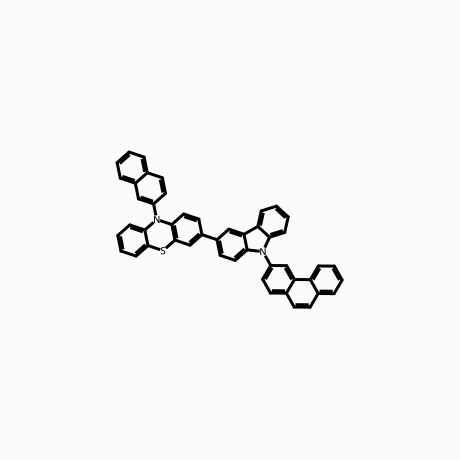 c1ccc2c(c1)Sc1cc(-c3ccc4c(c3)c3ccccc3n4-c3ccc4ccc5ccccc5c4c3)ccc1N2c1ccc2ccccc2c1